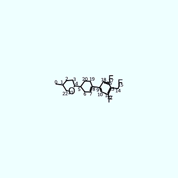 CC1CCC(C2CC=C(c3cc(F)c(CF)c(F)c3)CC2)OC1